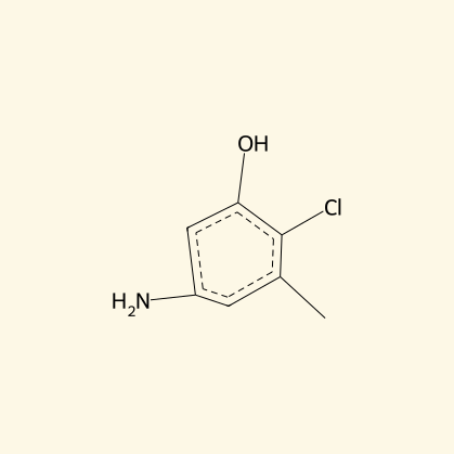 Cc1cc(N)cc(O)c1Cl